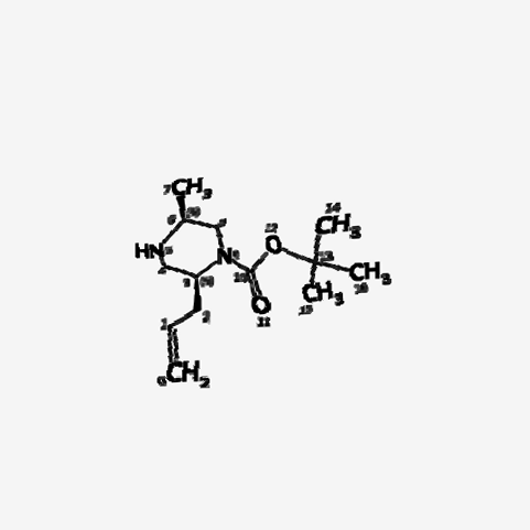 C=CC[C@H]1CN[C@@H](C)CN1C(=O)OC(C)(C)C